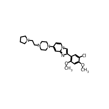 COc1cc(OC)c(-c2cn3ccc(N4CCN(CCN5CCCC5)CC4)cc3n2)cc1Cl